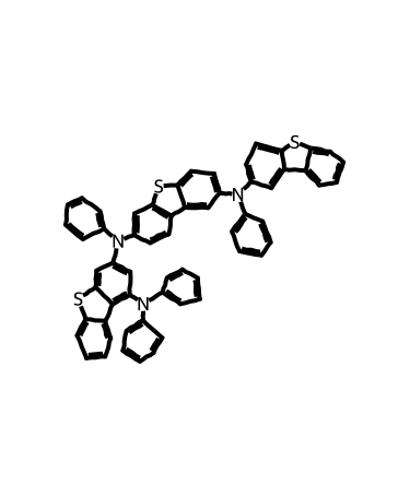 c1ccc(N(c2ccc3c(c2)sc2ccc(N(c4ccccc4)c4ccc5sc6ccccc6c5c4)cc23)c2cc(N(c3ccccc3)c3ccccc3)c3c(c2)sc2ccccc23)cc1